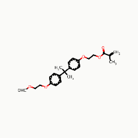 C=C(C)C(=O)OCCOc1ccc(C(C)(C)c2ccc(OCCOC=O)cc2)cc1